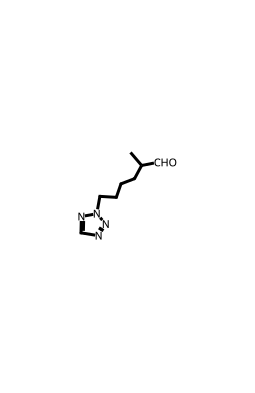 CC(C=O)CCCCn1ncnn1